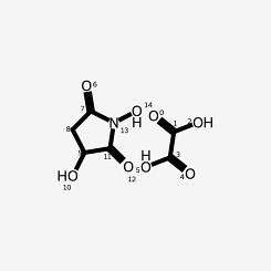 O=C(O)C(=O)O.O=C1CC(O)C(=O)N1O